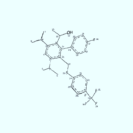 CC(C)c1cc(C(C)C)c(C(C)O)c(-c2ccc(F)cc2)c1CSc1ccc(C(F)(F)F)cc1